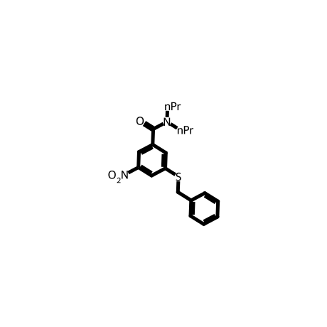 CCCN(CCC)C(=O)c1cc(SCc2ccccc2)cc([N+](=O)[O-])c1